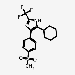 CS(=O)(=O)c1ccc(-c2nc(C(F)(F)F)[nH]c2C2CCCCC2)cc1